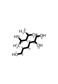 CC(C)CC(C)S.OCCCCC(O)CO